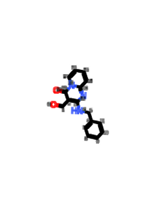 O=Cc1c(NCc2ccccc2)nc2ccccn2c1=O